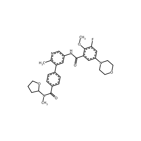 COc1c(F)cc(N2CCOCC2)cc1C(=O)Nc1cnc(C)c(-c2ccc(C(=O)N(C)C3CCCO3)cc2)c1